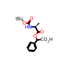 C[C@H](NC(=O)OC(C)(C)C)C(=O)OC(C(=O)O)c1ccccc1